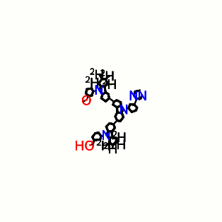 [2H]c1c([2H])c([2H])c2c(c1[2H])c1cc(-c3ccc4c(c3)c3cc(-c5ccc6c(c5)c5c([2H])c([2H])c([2H])c([2H])c5n6-c5cccc(OC)c5)ccc3n4-c3cccc(-c4cnccn4)c3)ccc1n2-c1cccc(CO)c1